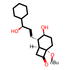 CCCCO[C@@]12CC[C@H](O)[C@@H](/C=C/[C@@H](O)C3CCCCC3)[C@@H]1CC2=O